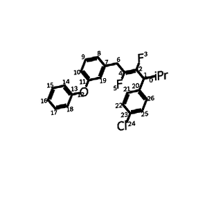 CC(C)C(C(F)=C(F)Cc1cccc(Oc2ccccc2)c1)c1ccc(Cl)cc1